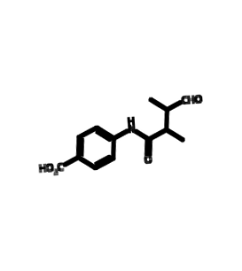 CC(C=O)C(C)C(=O)Nc1ccc(C(=O)O)cc1